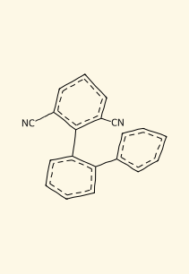 N#Cc1cccc(C#N)c1-c1ccccc1-c1ccccc1